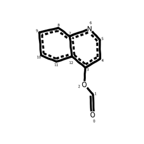 O=[C]Oc1ccnc2ccccc12